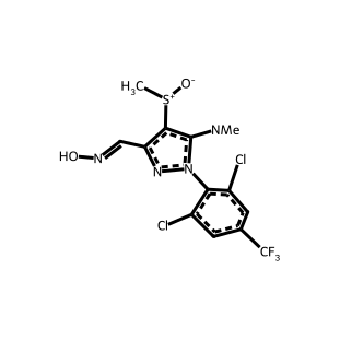 CNc1c([S+](C)[O-])c(C=NO)nn1-c1c(Cl)cc(C(F)(F)F)cc1Cl